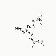 CN/C(C)=C\C=C(/C=N)OCCN(C)C